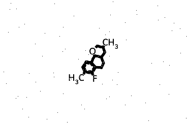 Cc1ccc2c(c1F)CCC1CC(C)COC21